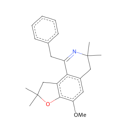 COc1cc2c(c3c1OC(C)(C)C3)C(Cc1ccccc1)=NC(C)(C)C2